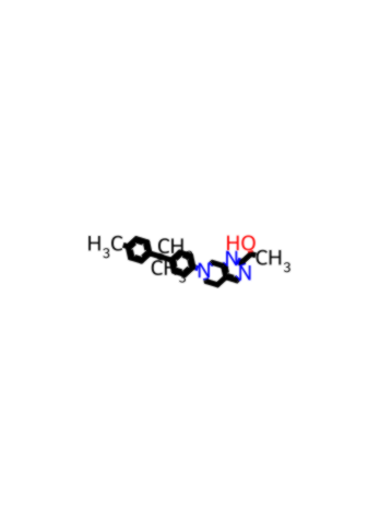 Cc1ccc(C(C)(C)c2ccc(N3CCc4cnc(C(C)O)nc4C3)cc2)cc1